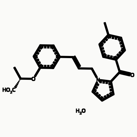 Cc1ccc(C(=O)c2cccn2C/C=C/c2cccc(O[C@@H](C)C(=O)O)c2)cc1.O